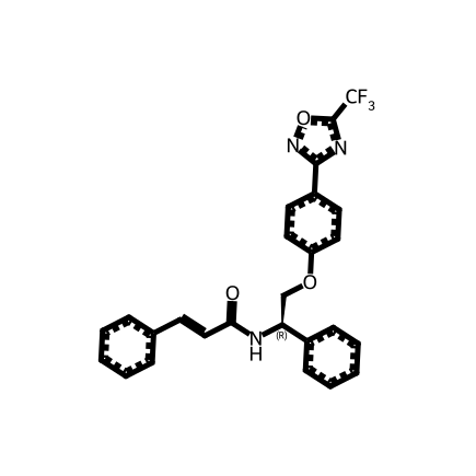 O=C(C=Cc1ccccc1)N[C@@H](COc1ccc(-c2noc(C(F)(F)F)n2)cc1)c1ccccc1